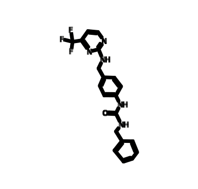 O=C(NCc1ccccc1)Nc1ccc(CNc2nccc(C(F)(F)F)n2)cc1